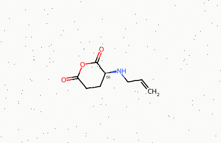 C=CCN[C@H]1CCC(=O)OC1=O